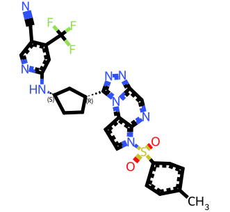 Cc1ccc(S(=O)(=O)n2ccc3c2ncc2nnc([C@@H]4CC[C@H](Nc5cc(C(F)(F)F)c(C#N)cn5)C4)n23)cc1